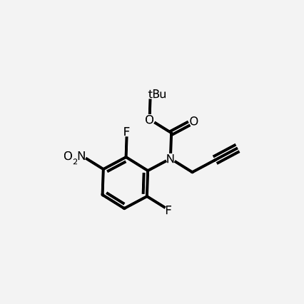 C#CCN(C(=O)OC(C)(C)C)c1c(F)ccc([N+](=O)[O-])c1F